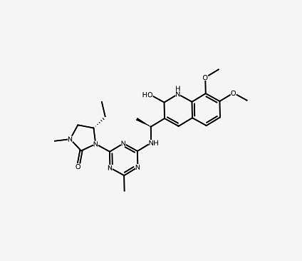 CC[C@H]1CN(C)C(=O)N1c1nc(C)nc(N[C@@H](C)C2=Cc3ccc(OC)c(OC)c3NC2O)n1